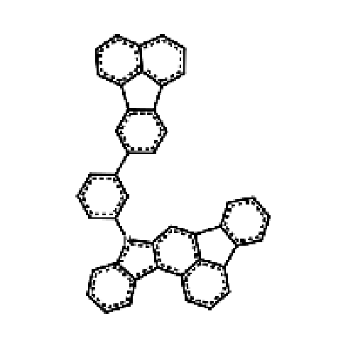 c1cc(-c2ccc3c(c2)-c2cccc4cccc-3c24)cc(-n2c3ccccc3c3c4cccc5c4c(cc32)-c2ccccc2-5)c1